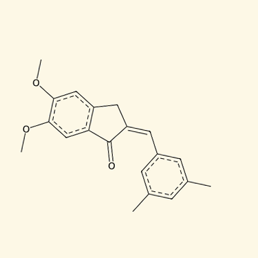 COc1cc2c(cc1OC)C(=O)C(=Cc1cc(C)cc(C)c1)C2